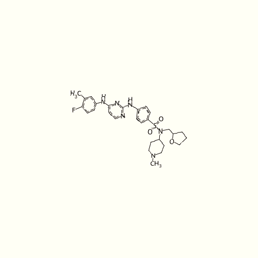 Cc1cc(Nc2ccnc(Nc3ccc(S(=O)(=O)N(CC4CCCO4)C4CCN(C)CC4)cc3)n2)ccc1F